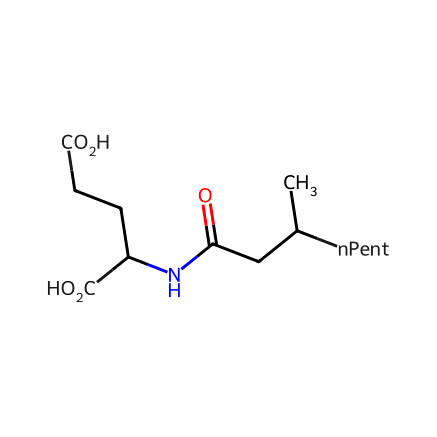 CCCCCC(C)CC(=O)NC(CCC(=O)O)C(=O)O